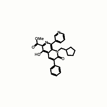 COC(=O)c1nc(-c2cccnc2)c2c(cc(-c3ccccc3)c(=O)n2CC2CCCC2)c1O